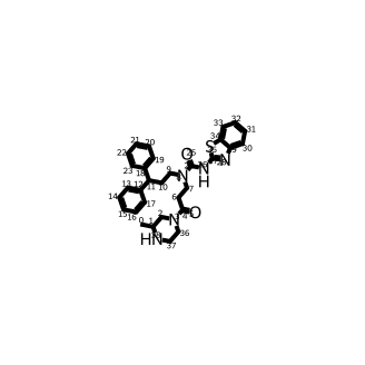 CC1CN(C(=O)CCN(CCC(c2ccccc2)c2ccccc2)C(=O)Nc2nc3ccccc3s2)CCN1